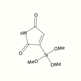 CO[Si](OC)(OC)C1=CC(=O)NC1=O